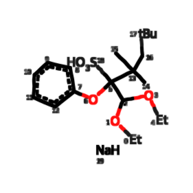 CCOC(OCC)C(Oc1ccccc1)(C(C)(C)CC(C)(C)C)S(=O)(=O)O.[NaH]